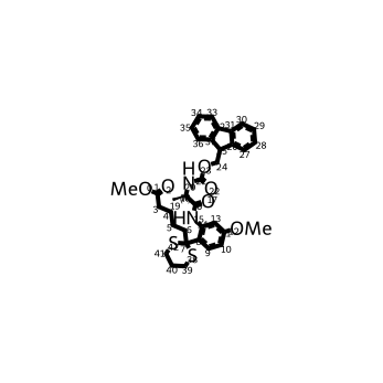 COC(=O)CCCCC1(c2ccc(OC)cc2NC(=O)[C@@H](C)NC(=O)OCC2c3ccccc3-c3ccccc32)SCCCS1